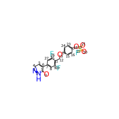 O=c1[nH]nccc1-c1cc(F)c(COc2ccc(OS(=O)(=O)F)cc2)c(F)c1